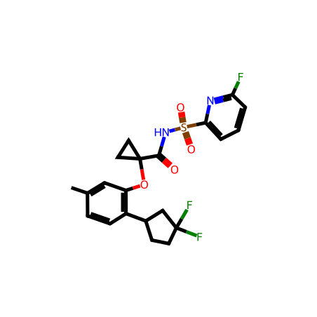 Cc1ccc(C2CCC(F)(F)C2)c(OC2(C(=O)NS(=O)(=O)c3cccc(F)n3)CC2)c1